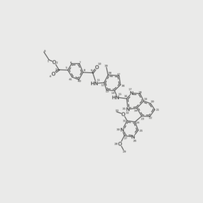 CCOC(=O)c1ccc(C(=O)Nc2cc(Nc3ncc4cccc(-c5cnc(OC)nc5OC)c4n3)ccc2C)cc1